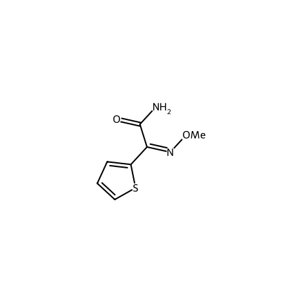 CO/N=C(\C(N)=O)c1cccs1